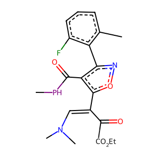 CCOC(=O)C(=O)/C(=C\N(C)C)c1onc(-c2c(C)cccc2F)c1C(=O)PC